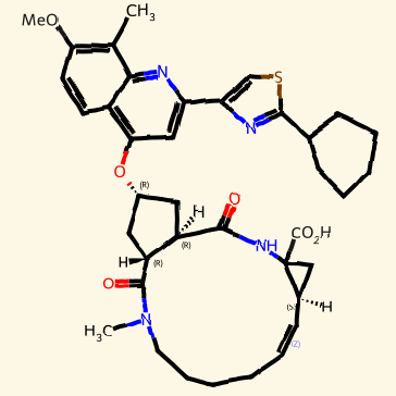 COc1ccc2c(O[C@@H]3C[C@H]4C(=O)NC5(C(=O)O)C[C@H]5/C=C\CCCCN(C)C(=O)[C@@H]4C3)cc(-c3csc(C4CCCCC4)n3)nc2c1C